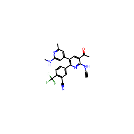 C#CNc1nc(-c2ccc(C(F)(F)F)c(C#N)c2)c(-c2cc(C)nc(NC)c2)cc1C(C)=O